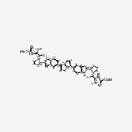 COC(=O)N[C@H](C(=O)N1CCCC1c1nc2cc(-c3csc4c(-c5ccc6[nH]c(C7CCCN7C(=O)[C@@H](NC(=O)OC)C(C)C)nc6c5)csc34)ccc2[nH]1)C(C)C